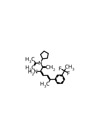 C=C(C)N(C(=C)/C(N)=C\C=C(/C)c1cccc(C(C)(F)F)c1)C1CCCC1